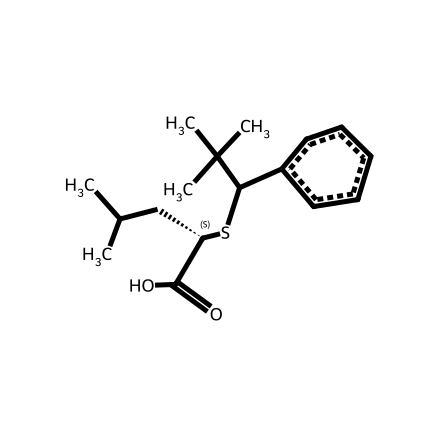 CC(C)C[C@H](SC(c1ccccc1)C(C)(C)C)C(=O)O